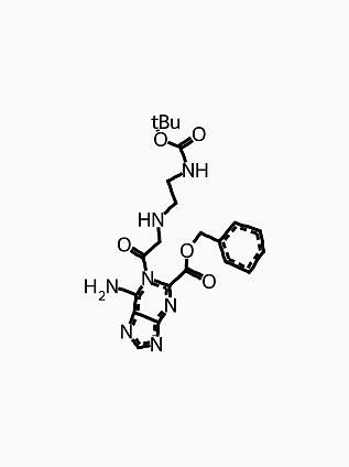 CC(C)(C)OC(=O)NCCNCC(=O)n1c(C(=O)OCc2ccccc2)nc2ncnc-2c1N